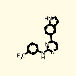 FC(F)(F)c1cccc(Nc2nccc(-c3ccc4[nH]ccc4c3)n2)c1